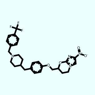 O=[N+]([O-])c1cn2c(n1)OC(COc1ccc(CC3CCN(Cc4ccc(C(F)(F)F)cc4)CC3)cc1)CC2